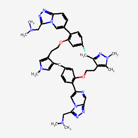 Cc1nn(C)c(C)c1CCOc1cc(Cc2cn(C)cc2CCOc2cc(F)ccc2-c2ccc3nnc(CN(C)C)n3c2)ccc1-c1cn2c(CN(C)C)nnc2cn1